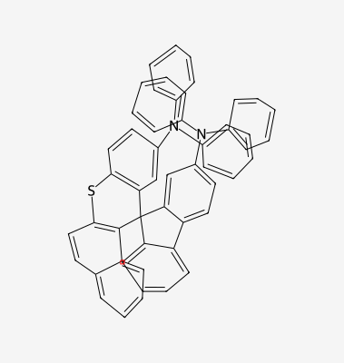 c1ccc(N(c2ccccc2)c2ccc3c(c2)C2(c4ccccc4-c4ccc(N(c5ccccc5)c5ccccc5)cc42)c2c(ccc4ccccc24)S3)cc1